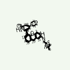 Cc1csc(CNc2ccc3c(c2)Cc2cccc(-c4cc(N5CCOCC5)cc(=O)[nH]4)c2O3)n1